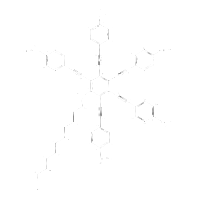 CCCCCc1ccc(C#Cc2c(C#Cc3ccc(CCCCC)cc3)c(C#Cc3ccc(CCCCC)cc3)c(OCCCCCCCCCCC(=O)O)c(C#Cc3ccc(CCCCC)cc3)c2C#Cc2ccc(CCCCC)cc2)cc1